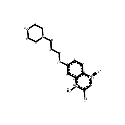 CCc1n[n+](=O)c2ccc(OCCCN3CCOCC3)cc2n1O